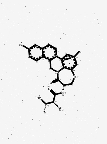 COc1ccc2cc(Br)ccc2c1CN1C(=O)[C@@H](NC(=O)[C@@H](N)[C@H](C)O)COc2cc(C)ccc21